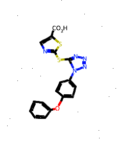 O=C(O)c1cnc(Sc2nnnn2-c2ccc(Oc3ccccc3)cc2)s1